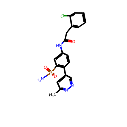 Cc1cc(-c2ccc(NC(=O)Cc3ccccc3Cl)cc2S(N)(=O)=O)cnn1